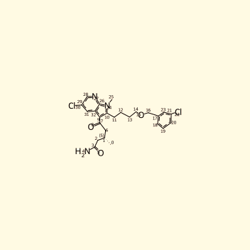 C[C@H](CC(N)=O)CC(=O)c1c(CCCCOCc2cccc(Cl)c2)n(C)c2ncc(Cl)cc12